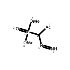 COP(=O)(OC)C(N=N)C(C)=O